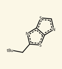 CC(C)(C)Cc1nc2scnc2s1